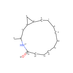 CC1CC2CC2CCCCCCCCCC(=O)N1